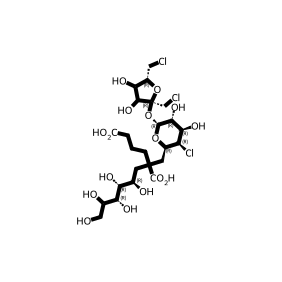 O=C(O)CCCC(C[C@@H](O)[C@@H](O)[C@H](O)C(O)CO)(C[C@H]1O[C@H](O[C@]2(CCl)O[C@@H](CCl)C(O)C2O)[C@H](O)[C@@H](O)[C@H]1Cl)C(=O)O